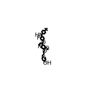 COc1cc2c(Oc3ccc(Nc4ccc(C(C)(C)C)cc4)c(F)c3)ccnc2cc1OCCCN1CCC(O)CC1